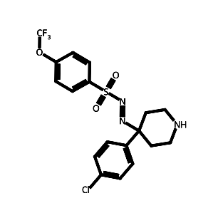 O=S(=O)(N=NC1(c2ccc(Cl)cc2)CCNCC1)c1ccc(OC(F)(F)F)cc1